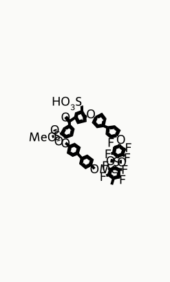 COc1ccc(-c2ccc(Oc3ccc(C(=O)c4ccc(Oc5ccc(-c6ccc(Oc7c(F)c(F)c(S(=O)(=O)c8c(F)c(F)c(C)c(F)c8F)c(F)c7F)cc6)cc5)c(CS(=O)(=O)O)c4)cc3S(=O)(=O)OC)cc2)cc1